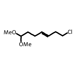 COC(CCC=CCCCl)OC